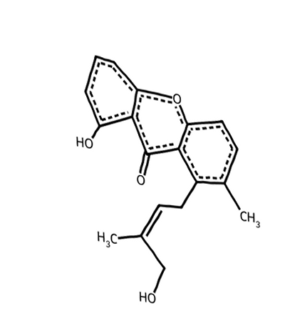 C/C(=C/Cc1c(C)ccc2oc3cccc(O)c3c(=O)c12)CO